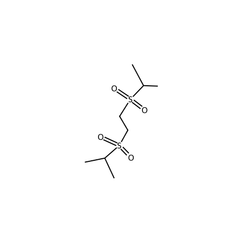 CC(C)S(=O)(=O)CCS(=O)(=O)C(C)C